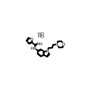 Cl.Cl.N=C(Nc1ccc2ccn(CCCN3CCOCC3)c2c1)c1ccco1